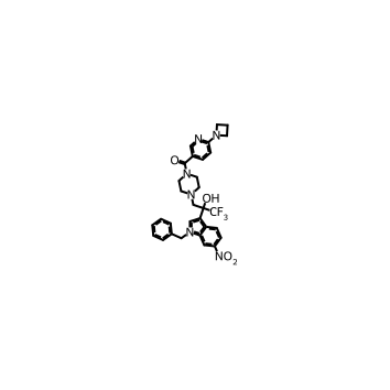 O=C(c1ccc(N2CCC2)nc1)N1CCN(CC(O)(c2cn(Cc3ccccc3)c3cc([N+](=O)[O-])ccc23)C(F)(F)F)CC1